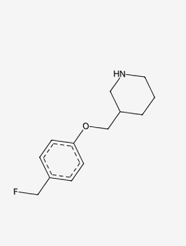 FCc1ccc(OCC2CCCNC2)cc1